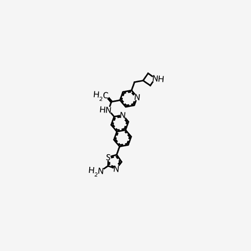 C=C(Nc1cc2cc(-c3cnc(N)s3)ccc2cn1)c1ccnc(CC2CNC2)c1